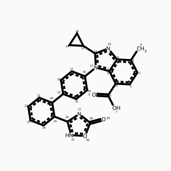 Cc1ccc(C(=O)O)c2c1nc(C1CC1)n2-c1ccc(-c2ccccc2-c2nc(=O)o[nH]2)cc1